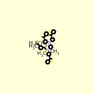 Cc1cc(-c2csc3ccccc23)cc(C)c1N1c2cccc3c2B(c2ccc(-c4csc5ccccc45)cc2N3c2cccc(-c3csc4ccccc34)c2)c2c1sc1ccc(C(C)(C)C)cc21